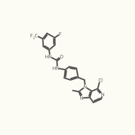 Cc1nc2ccnc(Cl)c2n1Cc1ccc(NC(=O)Nc2cc(F)cc(C(F)(F)F)c2)cc1